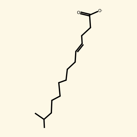 CC(C)CCCCCCC/C=C/CCC([O])=O